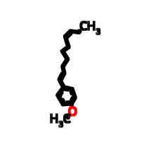 CC/C=C\CCCCC=Cc1ccc(OC)cc1